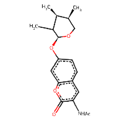 CC(=O)Nc1cc2ccc(O[C@@H]3OC[C@H](C)[C@H](C)C3C)cc2oc1=O